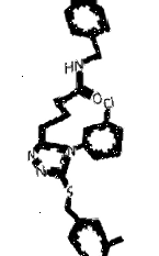 Cc1cccc(CSc2nnc(CCCC(=O)NCc3ccccc3)n2-c2cccc(Cl)c2)c1